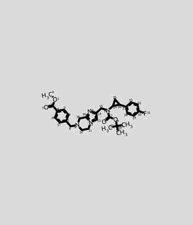 COC(=O)c1ccc(CN2CCn3cc(CN(C(=O)OC(C)(C)C)C4CC4c4ccc(F)cc4)nc3C2)cc1